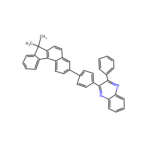 CC1(C)c2ccccc2-c2c1ccc1cc(-c3ccc(-c4nc5ccccc5nc4-c4ccccc4)cc3)ccc21